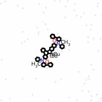 Cc1ccccc1N(c1ccc2cc3c(cc2c1)C(C(C)(C)C)(C(C)(C)C)c1c-3c2ccccc2c2cc(N(c3ccccc3C)c3cccc4c3oc3ccccc34)ccc12)c1cccc2c1oc1ccccc12